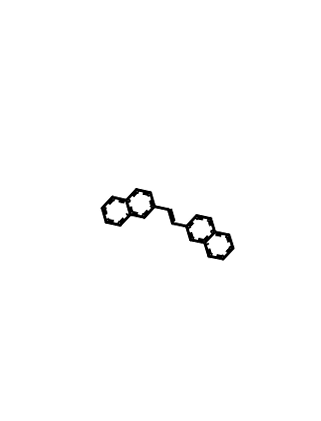 C(=Cc1ccc2ccccc2c1)c1ccc2ccccc2c1